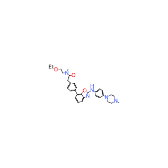 CCOCCN(C)C(=O)Cc1ccc(-c2cccc3nc(Nc4ccc(N5CCN(C)CC5)cc4)oc23)cc1